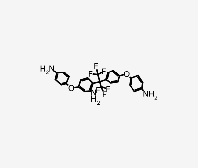 Nc1ccc(Oc2ccc(C(c3ccc(Oc4ccc(N)cc4)cc3N)(C(F)(F)F)C(F)(F)F)cc2)cc1